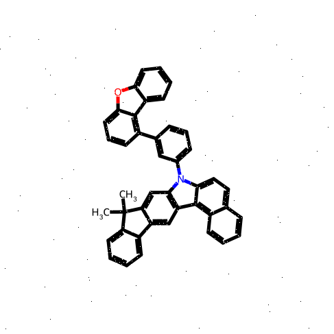 CC1(C)c2ccccc2-c2cc3c4c5ccccc5ccc4n(-c4cccc(-c5cccc6oc7ccccc7c56)c4)c3cc21